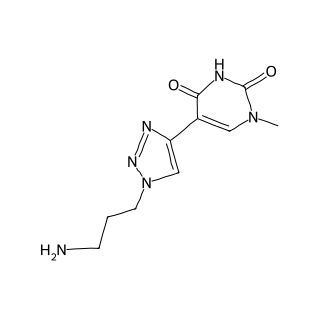 Cn1cc(-c2cn(CCCN)nn2)c(=O)[nH]c1=O